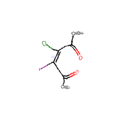 CC(C)COC(=O)/C(Cl)=C(/I)C(=O)OCC(C)C